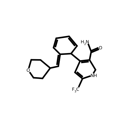 NC(=O)C1=C(C2C=CC=CC2=CC2CCOCC2)C=C(C(F)(F)F)NC1